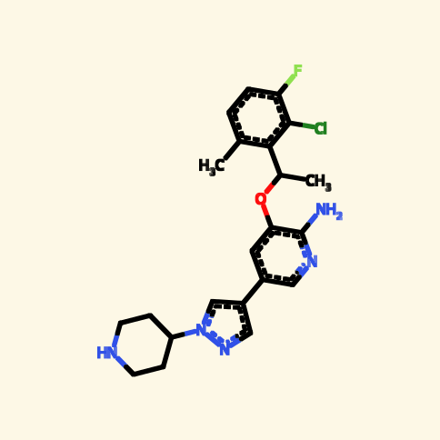 Cc1ccc(F)c(Cl)c1C(C)Oc1cc(-c2cnn(C3CCNCC3)c2)cnc1N